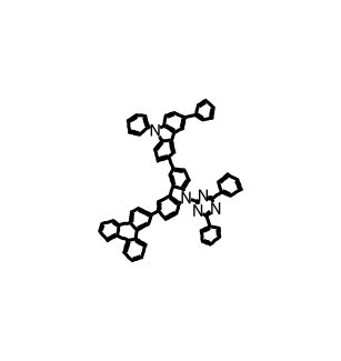 c1ccc(-c2ccc3c(c2)c2cc(-c4ccc5c(c4)c4cc(-c6ccc7c8ccccc8c8ccccc8c7c6)ccc4n5-c4nc(-c5ccccc5)nc(-c5ccccc5)n4)ccc2n3-c2ccccc2)cc1